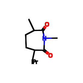 CC1CCC(C(C)C)C(=O)N(C)C1=O